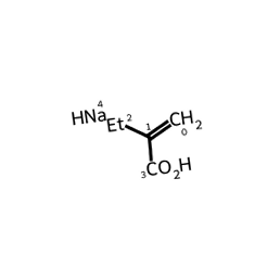 C=C(CC)C(=O)O.[NaH]